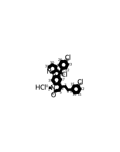 Cl.Cn1c(=O)cc(CCc2cccc(Cl)c2)c2cc(C(Cl)(c3ccc(Cl)cc3)c3cccnc3)ccc21